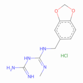 CN=C(NCc1ccc2c(c1)OCO2)NC(=N)N.Cl